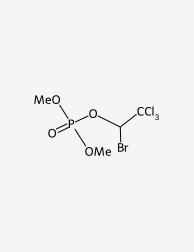 COP(=O)(OC)OC(Br)C(Cl)(Cl)Cl